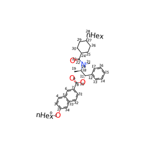 CCCCCCOc1ccc2cc(C(=O)O[C@@H](c3ccccc3)[C@@H](C)N(C)C(=O)C3CCC(CCCCCC)CC3)ccc2c1